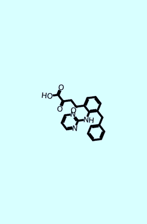 O=C(O)C(=O)CC(=O)c1cccc(Cc2ccccc2)c1Nc1ncccn1